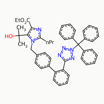 CCCc1nc(C(=O)OCC)c(C(C)(C)O)n1Cc1ccc(-c2ccccc2-c2nnn(C(c3ccccc3)(c3ccccc3)c3ccccc3)n2)cc1